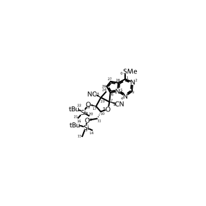 CSc1ncnn2c([C@]3(C#N)O[C@H](CO[Si](C)(C)C(C)(C)C)[C@@H](O[Si](C)(C)C(C)(C)C)[C@@]3(C)C#N)ccc12